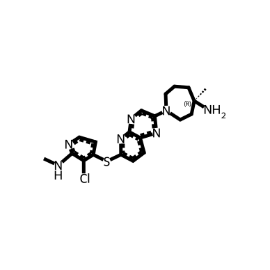 CNc1nccc(Sc2ccc3nc(N4CCC[C@@](C)(N)CC4)cnc3n2)c1Cl